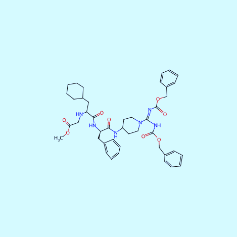 COC(=O)CNC(CC1CCCCC1)C(=O)N[C@H](Cc1ccccc1)C(=O)NC1CCN(C(=NC(=O)OCc2ccccc2)NC(=O)OCc2ccccc2)CC1